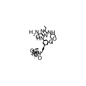 C=CS(=O)(=O)N(C)[C@@H](C)C(=O)NCC#Cc1cc(Nc2nc(NC3CCOCC3)c(CC)nc2C(N)=O)cc(OC)c1